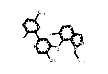 CCn1ncc2ncc(F)c(Nc3cc(-c4nc(C)ccc4F)ncc3C)c21